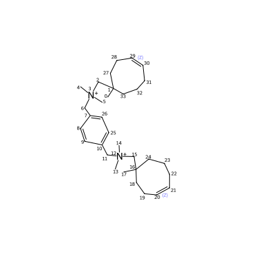 CC1(C[N+](C)(C)Cc2ccc(C[N+](C)(C)CC3(C)CC/C=C\CCC3)cc2)CC/C=C\CCC1